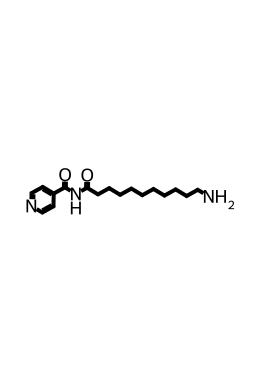 NCCCCCCCCCCC(=O)NC(=O)c1ccncc1